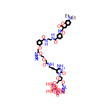 CCN(CC)c1ccc2cc(-c3nc4cc(C(=O)NCCNC(=O)c5cccc(OCC(N=[N+]=[N-])OCCOCC(=O)NCC#Cc6cn(C7CC(OCN=[N+]=[N-])C(COP(=O)(O)OP(=O)(O)OP(=O)(O)O)O7)c(=O)nc6N)c5)ccc4o3)c(=O)oc2c1